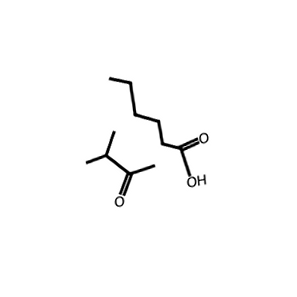 CC(=O)C(C)C.CCCCCC(=O)O